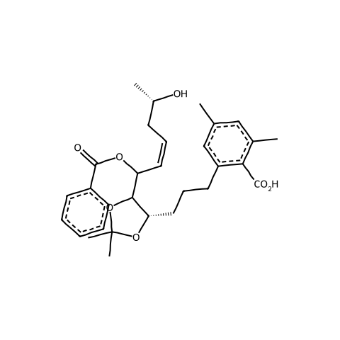 Cc1cc(C)c(C(=O)O)c(CCC[C@@H]2OC(C)(C)OC2C(/C=C\C[C@H](C)O)OC(=O)c2ccccc2)c1